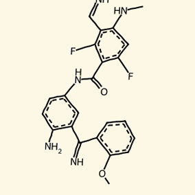 CNc1cc(F)c(C(=O)Nc2ccc(N)c(C(=N)c3ccccc3OC)c2)c(F)c1C=N